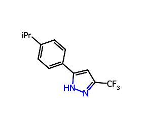 CC(C)c1ccc(-c2cc(C(F)(F)F)n[nH]2)cc1